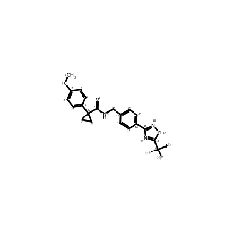 COc1ccc(C2(C(=O)NCc3ccc(-c4noc(C(F)(F)F)n4)cc3)CC2)cc1